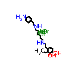 Br.Br.Br.CCc1c(CCNCCCCCCNCCc2ccc(N)cc2)ccc(O)c1O